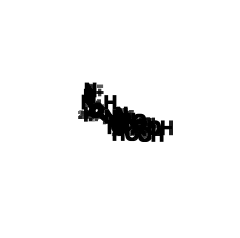 [N-]=[N+]=Nc1ccc(CNc2ncnc3c2ncn3C2O[C@H](CO)[C@@H](O)[C@H]2O)cc1I